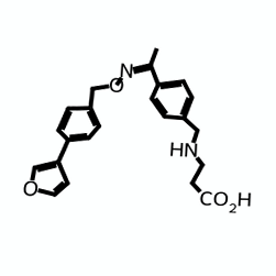 CC(=NOCc1ccc(-c2ccoc2)cc1)c1ccc(CNCCC(=O)O)cc1